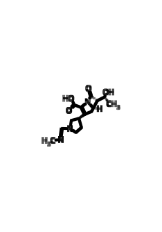 C/N=C/N1CC[C@H](C2=C(C(=O)O)N3C(=O)[C@H]([C@@H](C)O)[C@H]3C2)C1